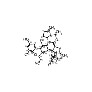 Cc1cc2c(OC(C)[C@@H]3CCCN3C)nc3c(F)c(-c4cc(O)cc(Cl)c4Cl)c(CCC#N)cc3c2n1[C@H]1[C@H]2CN[C@@H]1C2